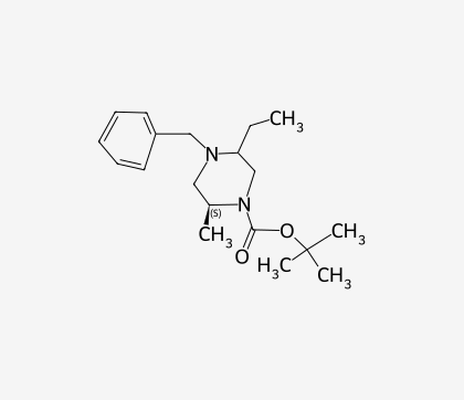 CCC1CN(C(=O)OC(C)(C)C)[C@@H](C)CN1Cc1ccccc1